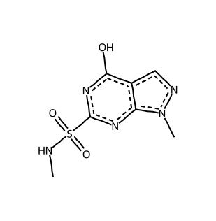 CNS(=O)(=O)c1nc(O)c2cnn(C)c2n1